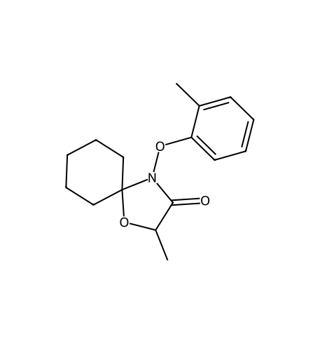 Cc1ccccc1ON1C(=O)C(C)OC12CCCCC2